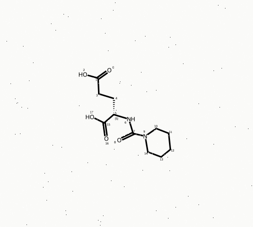 O=C(O)CC[C@H](NC(=O)N1CCCCC1)C(=O)O